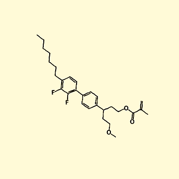 C=C(C)C(=O)OCCC(CCOC)c1ccc(-c2ccc(CCCCCCC)c(F)c2F)cc1